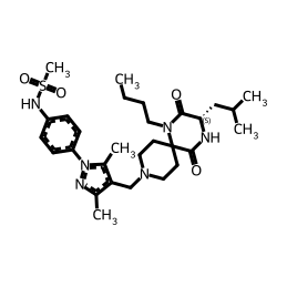 CCCCN1C(=O)[C@H](CC(C)C)NC(=O)C12CCN(Cc1c(C)nn(-c3ccc(NS(C)(=O)=O)cc3)c1C)CC2